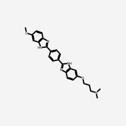 COc1ccc2nc(-c3ccc(-c4nc5ccc(OCCCN(C)C)cc5[nH]4)cc3)[nH]c2c1